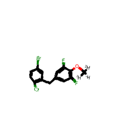 [2H]C([2H])([2H])Oc1c(F)cc(Cc2cc(Br)ccc2Cl)cc1F